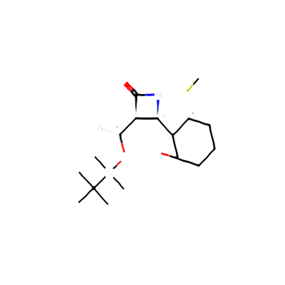 CS[C@@H]1CCCC2O[C@@]21[C@@H]1NC(=O)[C@@H]1[C@@H](C)O[Si](C)(C)C(C)(C)C